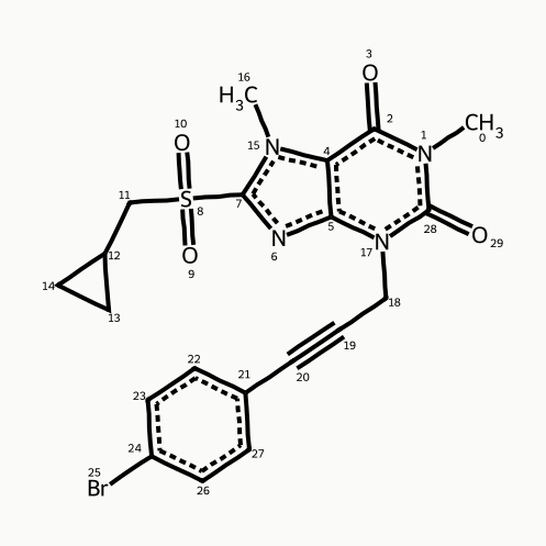 Cn1c(=O)c2c(nc(S(=O)(=O)CC3CC3)n2C)n(CC#Cc2ccc(Br)cc2)c1=O